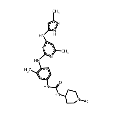 CC(=O)N1CCC(NC(=O)Nc2ccc(Nc3nc(C)cc(Nc4cc(C)n[nH]4)n3)c(C)c2)CC1